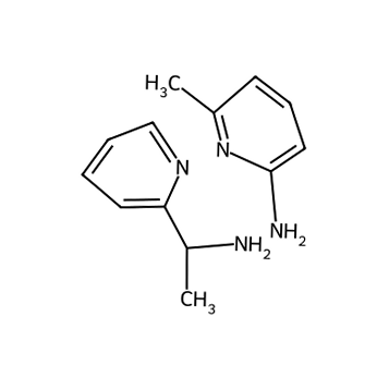 CC(N)c1ccccn1.Cc1cccc(N)n1